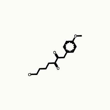 COc1ccc(CC(=O)C(=O)CCCCCl)cc1